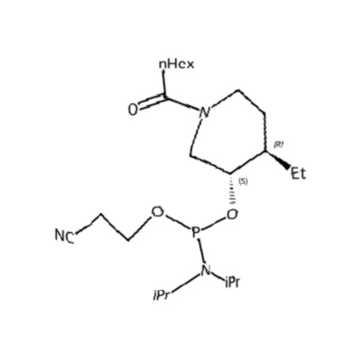 CCCCCCC(=O)N1CC[C@@H](CC)[C@H](OP(OCCC#N)N(C(C)C)C(C)C)C1